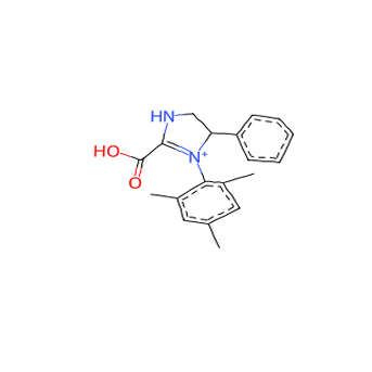 Cc1cc(C)c([N+]2=C(C(=O)O)NCC2c2ccccc2)c(C)c1